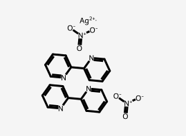 O=[N+]([O-])[O-].O=[N+]([O-])[O-].[Ag+2].c1ccc(-c2ccccn2)nc1.c1ccc(-c2ccccn2)nc1